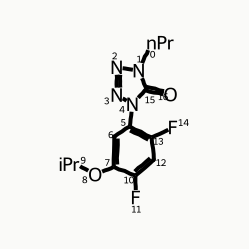 CCCn1nnn(-c2cc(OC(C)C)c(F)cc2F)c1=O